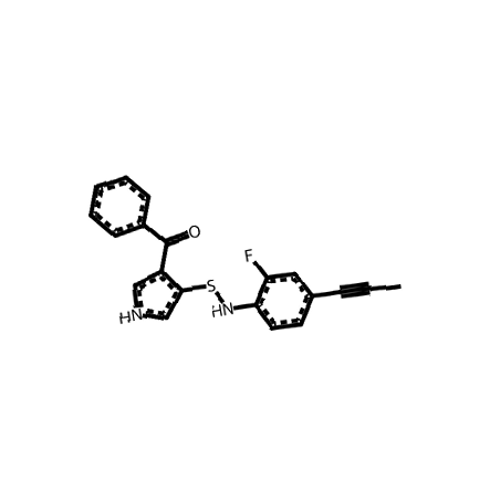 CC#Cc1ccc(NSc2c[nH]cc2C(=O)c2ccccc2)c(F)c1